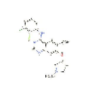 COc1cc2c(Nc3cccc(Cl)c3F)ncnc2cc1O[C@@H]1CCN(C(=O)O)C1